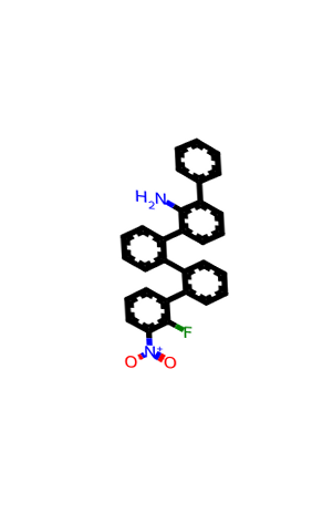 Nc1c(-c2ccccc2)cccc1-c1ccccc1-c1ccccc1-c1cccc([N+](=O)[O-])c1F